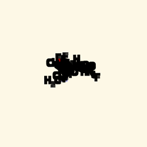 C=C(Cl)/C=C\C=C(/F)[C@H]1[C@H](C(=O)N[C@@H]2CC[C@@H](C(=O)NCCF)OC2)NC2(CC(CF)(CF)C2)[C@@]12C(=O)Nc1cc(Cl)ccc12